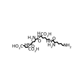 NCCCCC(N)C(=O)NCCCCC(NC(=O)C(N)CCC(=O)NC(CCC(=O)O)C(=O)O)C(=O)O